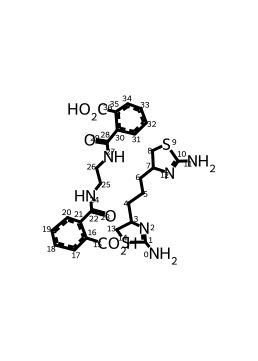 NC1=NC(CCCC2CSC(N)=N2)CS1.O=C(O)c1ccccc1C(=O)NCCNC(=O)c1ccccc1C(=O)O